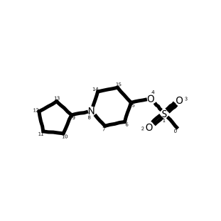 CS(=O)(=O)OC1CCN(C2CCCC2)CC1